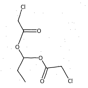 CCC(OC(=O)CCl)OC(=O)CCl